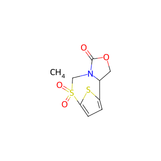 C.O=C1OCC2c3ccc(s3)S(=O)(=O)CN12